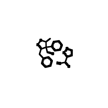 CC1ON=C(Cc2ccccc2)C1(C=O)c1ccccc1.O=C(O)c1ccon1